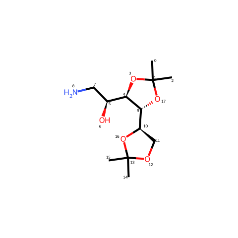 CC1(C)O[C@H]([C@@H](O)CN)[C@@H]([C@H]2COC(C)(C)O2)O1